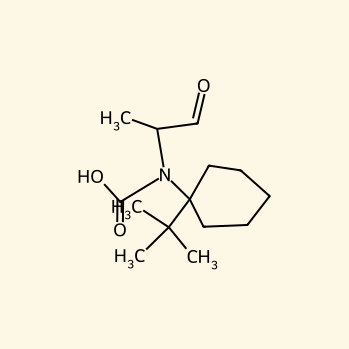 CC(C=O)N(C(=O)O)C1(C(C)(C)C)CCCCC1